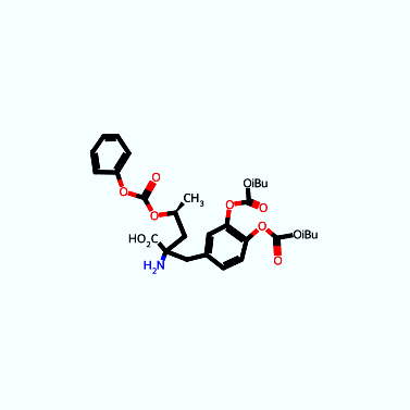 CC(C)COC(=O)Oc1ccc(CC(N)(C[C@H](C)OC(=O)Oc2ccccc2)C(=O)O)cc1OC(=O)OCC(C)C